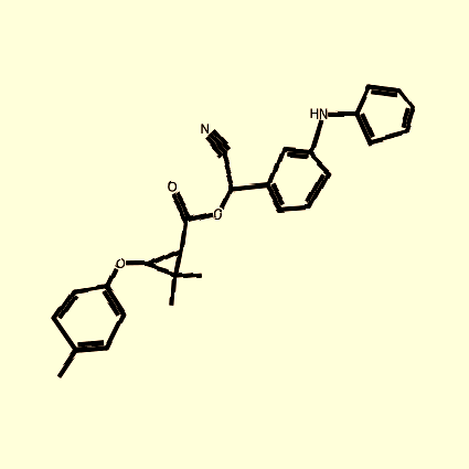 Cc1ccc(OC2C(C(=O)OC(C#N)c3cccc(Nc4ccccc4)c3)C2(C)C)cc1